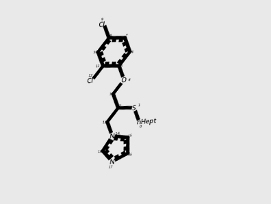 CCCCCCCSC(COc1ccc(Cl)cc1Cl)Cn1ccnc1